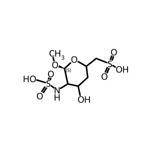 CO[C@H]1OC(CS(=O)(=O)O)CC(O)C1NS(=O)(=O)O